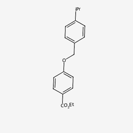 CCOC(=O)c1ccc(OCc2ccc(C(C)C)cc2)cc1